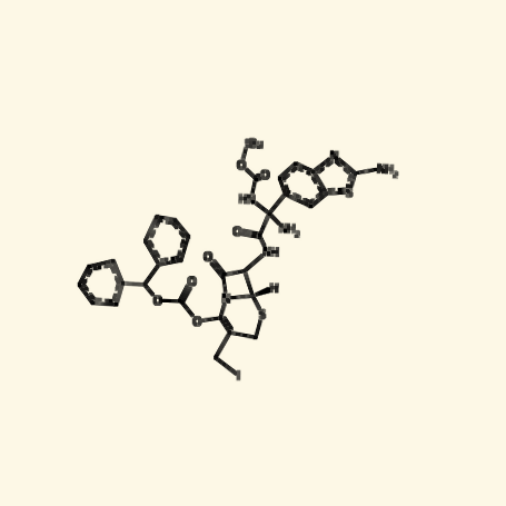 CC(C)(C)OC(=O)NC(N)(C(=O)NC1C(=O)N2C(OC(=O)OC(c3ccccc3)c3ccccc3)=C(CI)CS[C@@H]12)c1ccc2nc(N)sc2c1